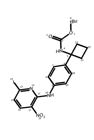 CC(C)(C)OC(=O)NC1(c2ccc(Nc3nc(I)ccc3[N+](=O)[O-])cc2)CCC1